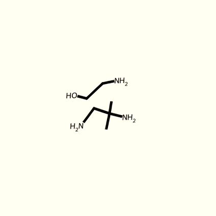 CC(C)(N)CN.NCCO